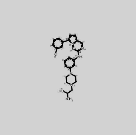 CC(O)CN1CCN(c2cccc(Nc3ncc4ccc(-c5cccc(Cl)c5)n4n3)c2)CC1